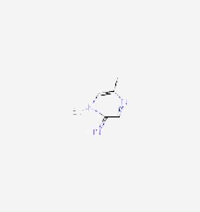 CCn1cc(C)ncc1=N